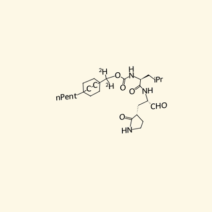 [2H]C([2H])(OC(=O)N[C@@H](CC(C)C)C(=O)N[C@H](C=O)C[C@@H]1CCNC1=O)C12CCC(CCCCC)(CC1)CC2